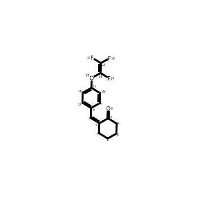 O=C1CCCC/C1=C/c1ccc(OC(F)=C(F)F)cc1